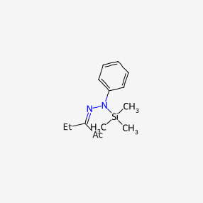 CCC(=NN(c1ccccc1)[Si](C)(C)C)C(C)=O